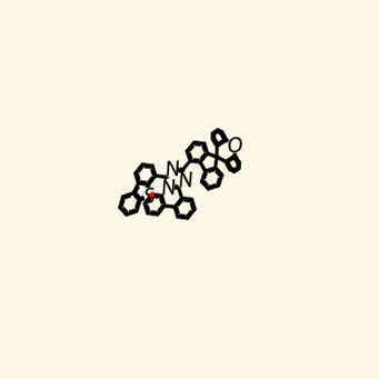 c1ccc(-c2ccccc2-c2nc(-c3cccc4c3-c3ccccc3C43c4ccccc4Oc4ccccc43)nc(-c3cccc4c3sc3ccccc34)n2)cc1